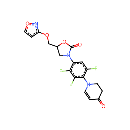 O=C1C=CN(c2c(F)cc(N3CC(COc4ccon4)OC3=O)c(F)c2F)CC1